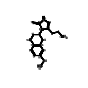 NCCc1c[nH]c(=S)n1C1COc2ccc(SO)cc2C1